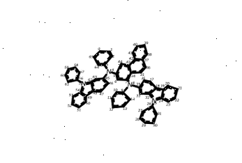 c1ccc(N(c2cc(N(c3ccccc3)c3ccc4c5ccccc5n(-c5ccccc5)c4c3)c3ccc4ccccc4c3c2)c2ccc3c4ccccc4n(-c4ccccc4)c3c2)cc1